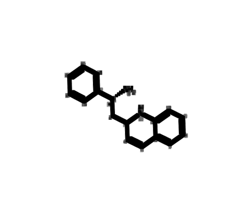 N[C@H](CC1C=Cc2ccccc2N1)c1ccccc1